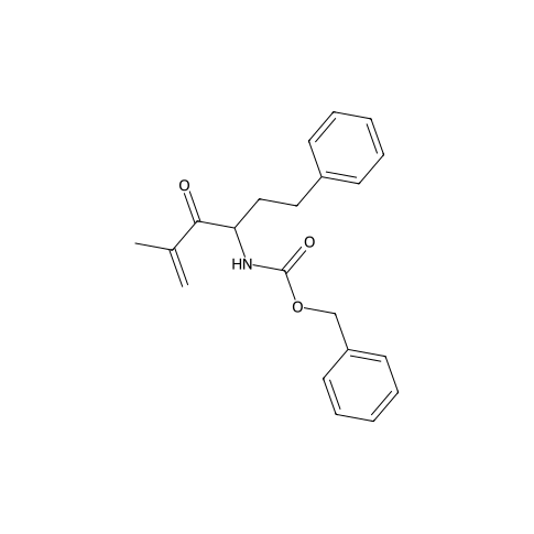 C=C(C)C(=O)C(CCc1ccccc1)NC(=O)OCc1ccccc1